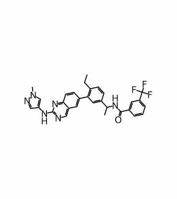 CCc1ccc(C(C)NC(=O)c2cccc(C(F)(F)F)c2)cc1-c1ccc2nc(Nc3cnn(C)c3)ncc2c1